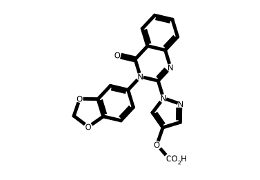 O=C(O)Oc1cnn(-c2nc3ccccc3c(=O)n2-c2ccc3c(c2)OCO3)c1